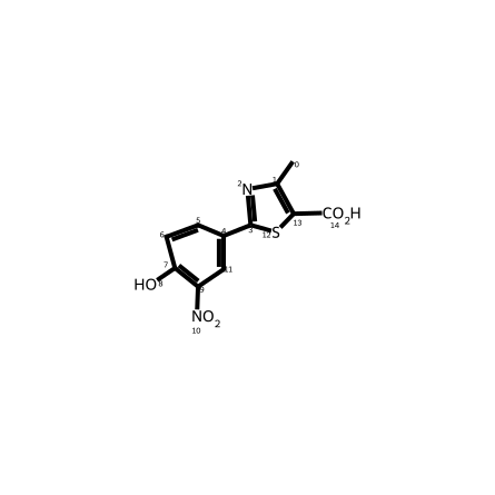 Cc1nc(-c2ccc(O)c([N+](=O)[O-])c2)sc1C(=O)O